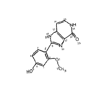 COc1cc(O)ccc1-c1nc2c(=O)[nH]ccc2[nH]1